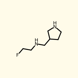 FCCNCC1CCNC1